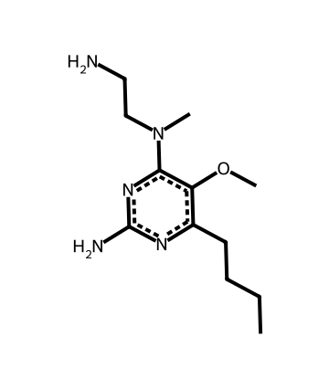 CCCCc1nc(N)nc(N(C)CCN)c1OC